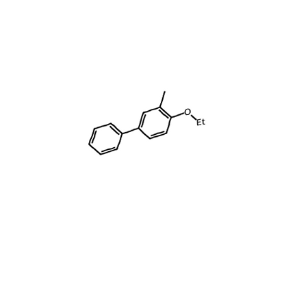 CCOc1ccc(-c2ccccc2)cc1C